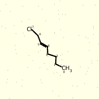 CCCCC=CCCl